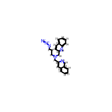 [N-]=[N+]=NCCCN(Cc1cc2ccccc2cn1)Cc1ccc2ccccc2n1